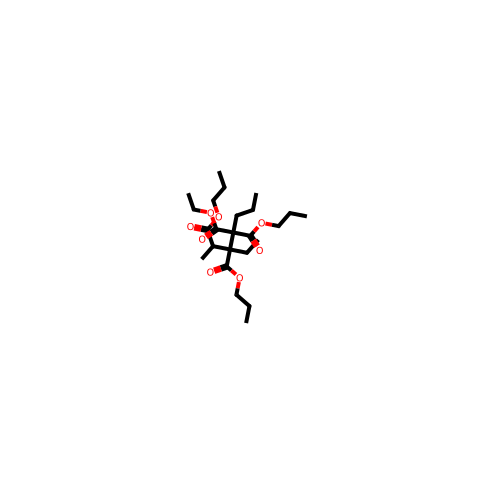 CCCOC(=O)[C](C)C(CC)(C(=O)OCCC)C(CCC)(C(=O)OCC)C(=O)OCCC